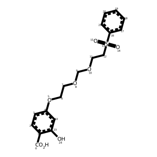 O=C(O)c1ccc(OCCOCOCCS(=O)(=O)c2ccccc2)cc1O